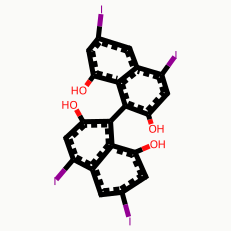 Oc1cc(I)c2cc(I)cc(O)c2c1-c1c(O)cc(I)c2cc(I)cc(O)c12